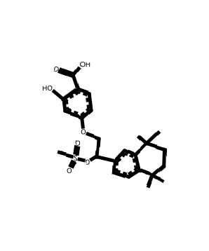 CC1(C)CCC(C)(C)c2cc(C(COc3ccc(C(=O)O)c(O)c3)OS(C)(=O)=O)ccc21